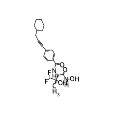 C[C@@](O)(C(F)F)[C@H](NC(=O)c1ccc(C#CCC2CCCCC2)cc1)C(=O)NO